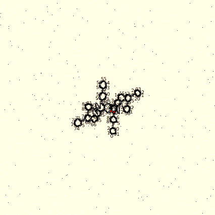 c1ccc(-c2ccc(-c3nc4cc5c(ccc6cc(-c7ccccc7)cc(-c7ccccc7)c65)cc4c4c3C3c5cccc(c5)C4c4c(-c5ccc(-c6ccccc6)cc5)nc5nc6c(ccc7cc(-c8ccccc8)cc(-c8ccccc8)c76)cc5c43)cc2)cc1